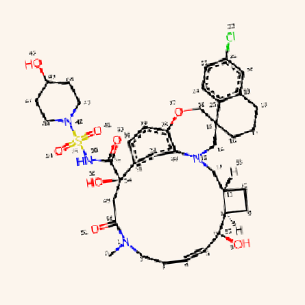 CN1CCC=C[C@H](O)[C@@H]2CC[C@H]2CN2C[C@@]3(CCCc4cc(Cl)ccc43)COc3ccc(cc32)[C@@](O)(C(=O)NS(=O)(=O)N2CCC(O)CC2)CC1=O